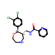 O=C(NC[C@@H]1CNCCO[C@H]1c1ccc(Cl)c(Cl)c1)c1ccccn1